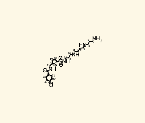 NCCCNCCCCNCCCNS(=O)(=O)c1ccc(CNC(=O)c2ccc(Cl)cc2)s1